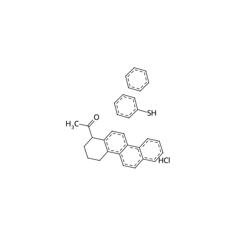 CC(=O)C1CCCc2c1ccc1c2ccc2ccccc21.Cl.Sc1ccccc1.c1ccccc1